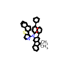 CC1(C)c2ccccc2-c2cc(N(c3ccc(-c4ccccc4)cc3)c3nccc4sc5c6ccccc6ccc5c34)c(-c3ccccc3)cc21